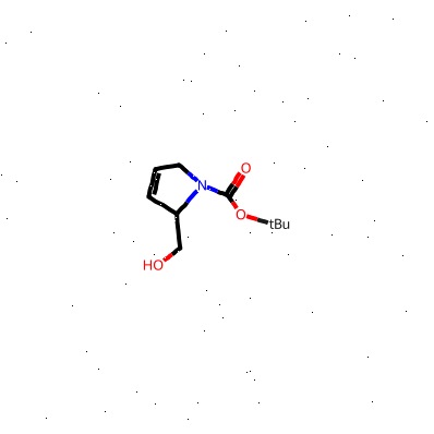 CC(C)(C)OC(=O)N1CC=CC1CO